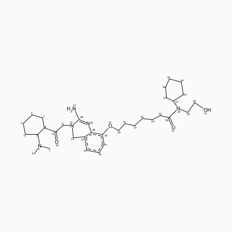 CN(C)C1CCCCC1C(=O)CN1Cc2cccc(OCCCCCCC(=O)N(CCO)C3CCCCC3)c2N=C1N